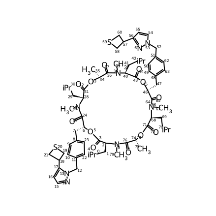 CC(C)C[C@H]1C(=O)O[C@H](Cc2ccc(Cn3nccc3C3CSC3)cc2)C(=O)N(C)[C@@H](CC(C)C)C(=O)O[C@H](C)C(=O)N(C)[C@@H](CC(C)C)C(=O)O[C@H](Cc2ccc(Cn3ccc(C4CSC4)n3)cc2)C(=O)N(C)[C@@H](CC(C)C)C(=O)O[C@H](C)C(=O)N1C